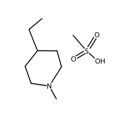 CCC1CCN(C)CC1.CS(=O)(=O)O